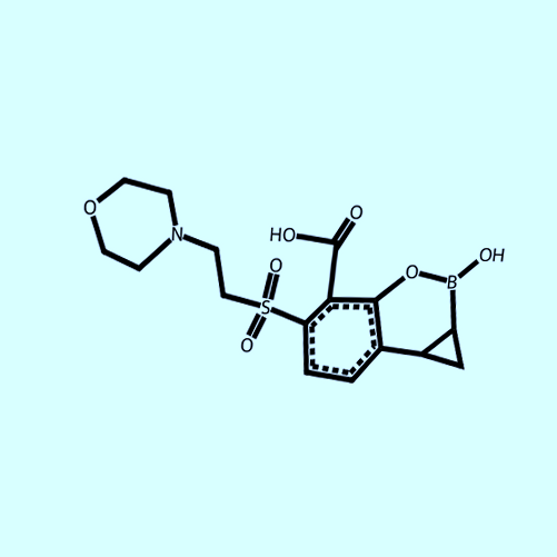 O=C(O)c1c(S(=O)(=O)CCN2CCOCC2)ccc2c1OB(O)C1CC21